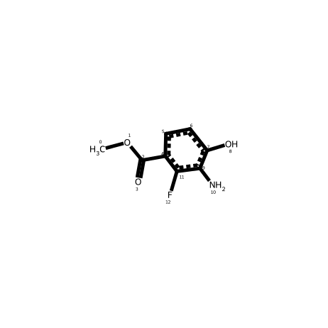 COC(=O)c1ccc(O)c(N)c1F